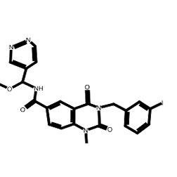 COC(NC(=O)c1ccc2c(c1)c(=O)n(Cc1cccc(I)c1)c(=O)n2C)c1ccnnc1